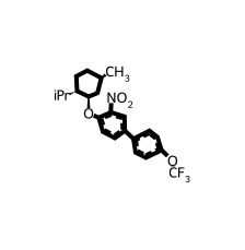 CC(C)[C@@H]1CC[C@@H](C)C[C@H]1Oc1ccc(-c2ccc(OC(F)(F)F)cc2)cc1[N+](=O)[O-]